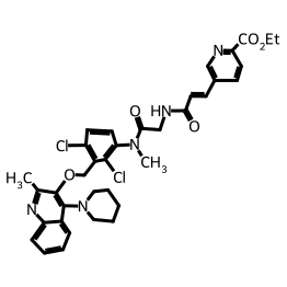 CCOC(=O)c1ccc(C=CC(=O)NCC(=O)N(C)c2ccc(Cl)c(COc3c(C)nc4ccccc4c3N3CCCCC3)c2Cl)cn1